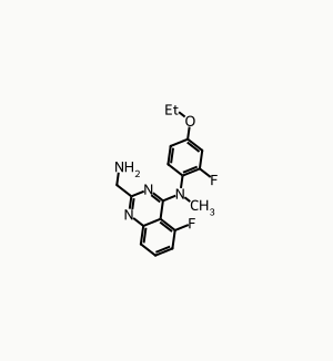 CCOc1ccc(N(C)c2nc(CN)nc3cccc(F)c23)c(F)c1